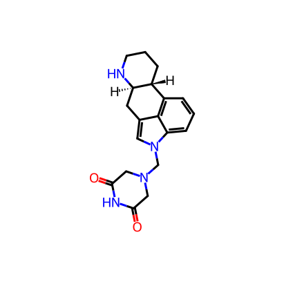 O=C1CN(Cn2cc3c4c(cccc42)[C@H]2CCCN[C@@H]2C3)CC(=O)N1